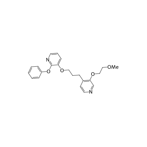 COCCOc1cnccc1CCCOc1cccnc1Oc1ccccc1